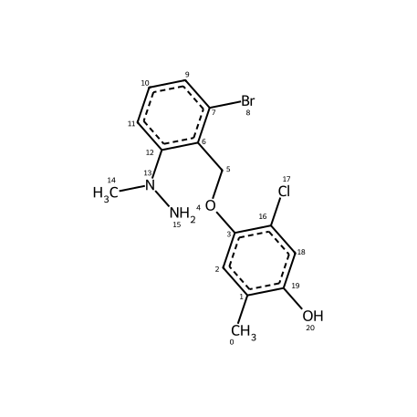 Cc1cc(OCc2c(Br)cccc2N(C)N)c(Cl)cc1O